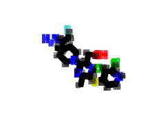 Cc1nc(N2CCC(C)([C@H](N)CF)CC2)c(CO)nc1Sc1ccnc(Cl)c1Cl